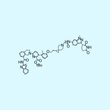 Cc1c(OCC[C@@H]2CC23CCN(CC(=O)Nc2ccc4c(C5CCC(=O)NC5=O)nn(C)c4c2)CC3)cccc1-c1ccc(N2CCc3cccc(C(=O)Nc4nc5ccccc5s4)c3C2)nc1C(=O)OC(C)(C)C